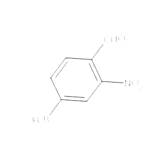 Bc1ccc(C=O)c([N+](=O)[O-])c1